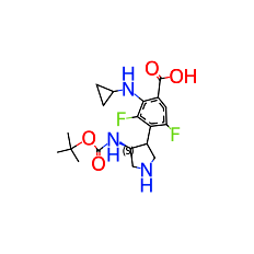 CC(C)(C)OC(=O)N[C@@H]1CNCC1c1c(F)cc(C(=O)O)c(NC2CC2)c1F